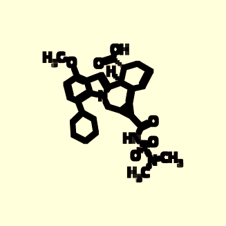 COc1ccc(C2CCCCC2)c2c1cc1n2CC2=C(C(=O)NS(=O)(=O)N(C)C)C2=C2C=CC[C@@H](C(=O)O)[C@@H]21